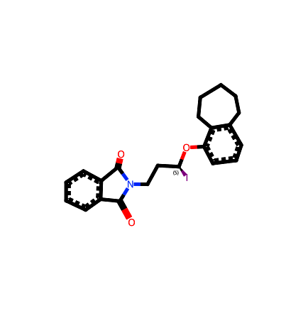 O=C1c2ccccc2C(=O)N1CC[C@H](I)Oc1cccc2c1CCCCC2